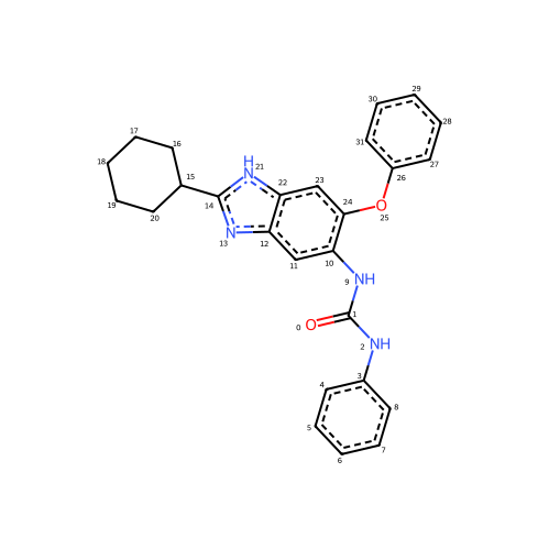 O=C(Nc1ccccc1)Nc1cc2nc(C3CCCCC3)[nH]c2cc1Oc1ccccc1